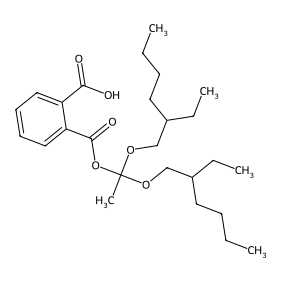 CCCCC(CC)COC(C)(OCC(CC)CCCC)OC(=O)c1ccccc1C(=O)O